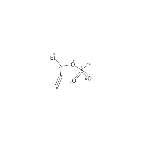 C#CC(CC)OS(C)(=O)=O